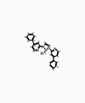 BrB1N(c2cc(-c3ccccc3)ccn2)C=CN1c1cc(-c2ccccc2)ccn1